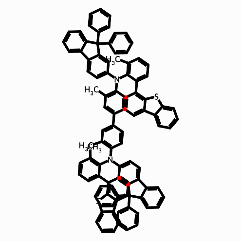 Cc1cc(-c2ccc(N(c3ccc4c(c3)C(c3ccccc3)(c3ccccc3)c3ccccc3-4)c3c(C)cccc3-c3cccc4c3sc3ccccc34)c(C)c2)ccc1N(c1ccc2c(c1)C(c1ccccc1)(c1ccccc1)c1ccccc1-2)c1c(C)cccc1-c1cccc2c1sc1ccccc12